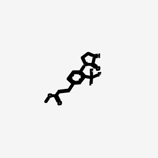 COC(=O)C=Cc1ccc(N2CCNC2=O)c(C(F)(F)F)c1